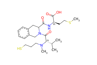 CSCC[C@@H](NC(=O)C1Cc2ccccc2CN1C(=O)[C@H](C(C)C)N(C)CCCS)C(=O)O